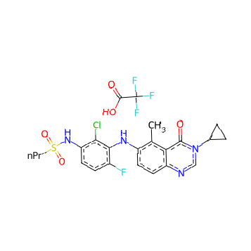 CCCS(=O)(=O)Nc1ccc(F)c(Nc2ccc3ncn(C4CC4)c(=O)c3c2C)c1Cl.O=C(O)C(F)(F)F